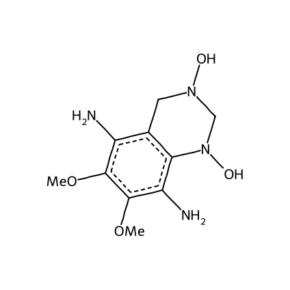 COc1c(N)c2c(c(N)c1OC)N(O)CN(O)C2